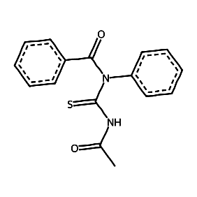 CC(=O)NC(=S)N(C(=O)c1ccccc1)c1ccccc1